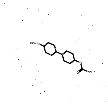 CCCCCC1CCC(C2CCC(OC(=O)CCC)CC2)CC1